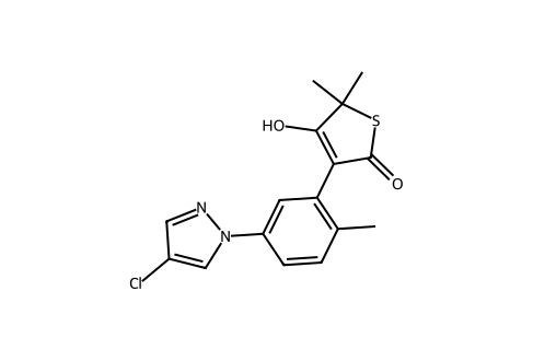 Cc1ccc(-n2cc(Cl)cn2)cc1C1=C(O)C(C)(C)SC1=O